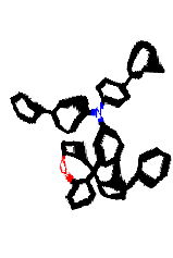 c1ccc(-c2ccc(N(c3ccc(-c4ccccc4)cc3)c3ccc4c(c3)C3(c5ccccc5Oc5ccccc53)c3cccc(-c5ccccc5)c3-4)cc2)cc1